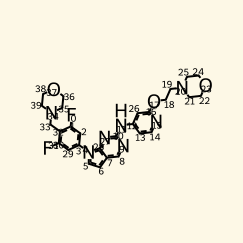 Fc1cc(-n2ccc3cnc(Nc4ccnc(OCCN5CCOCC5)c4)nc32)cc(F)c1CN1CCOCC1